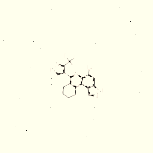 FC(F)(F)c1n[nH]cc1-c1nc2c(Br)cc3[nH]ncc3c2c2c1CCCC2